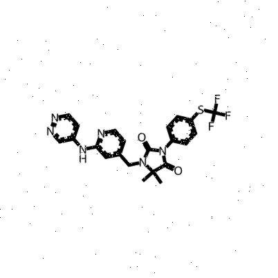 CC1(C)C(=O)N(c2ccc(SC(F)(F)F)cc2)C(=O)N1Cc1ccnc(Nc2ccnnc2)c1